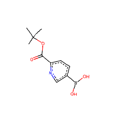 CC(C)(C)OC(=O)c1ccc(B(O)O)cn1